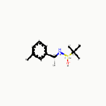 Cc1cccc([C@@H](C)N[S@+]([O-])C(C)(C)C)c1